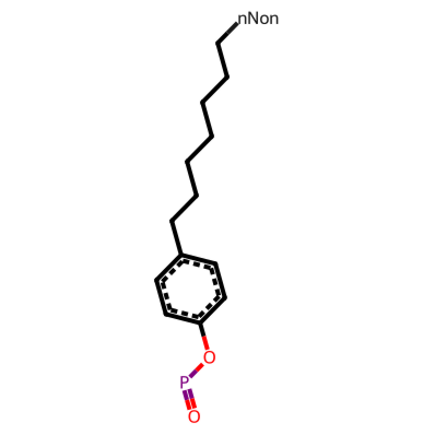 CCCCCCCCCCCCCCCCc1ccc(OP=O)cc1